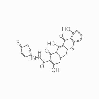 O=C(NNC1=CCC(=S)C=C1)C1=C(O)CC2CC3Sc4cccc(O)c4C(=O)C3=C(O)C2C1=O